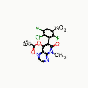 Cn1c(=O)c(-c2c(F)c([N+](=O)[O-])cc(F)c2Cl)c(OC(=O)C(C)(C)C)c2nccnc21